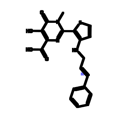 Cn1c(-c2sccc2NC/C=C/c2ccccc2)nc(C(=O)O)c(O)c1=O